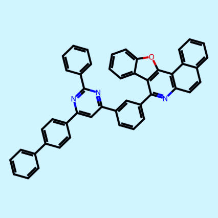 c1ccc(-c2ccc(-c3cc(-c4cccc(-c5nc6ccc7ccccc7c6c6oc7ccccc7c56)c4)nc(-c4ccccc4)n3)cc2)cc1